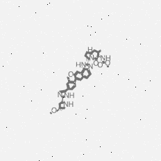 COC[C@@H]1CN[C@H](c2ncc(-c3ccc4c(c3)COc3cc5c(ccc6nc([C@@H]7CC[C@@H]8CC(C)[C@H](NC(=O)OC)C(=O)N87)[nH]c65)cc3-4)[nH]2)C1